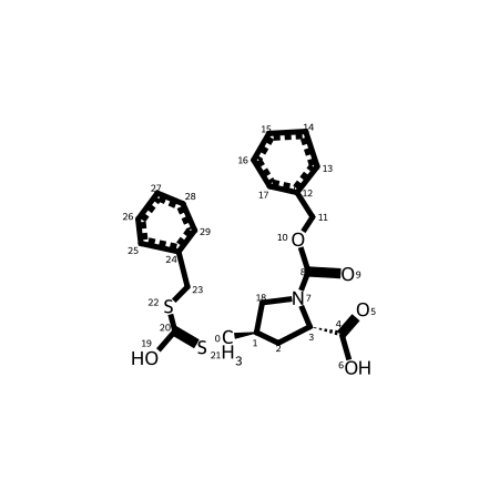 C[C@@H]1C[C@@H](C(=O)O)N(C(=O)OCc2ccccc2)C1.OC(=S)SCc1ccccc1